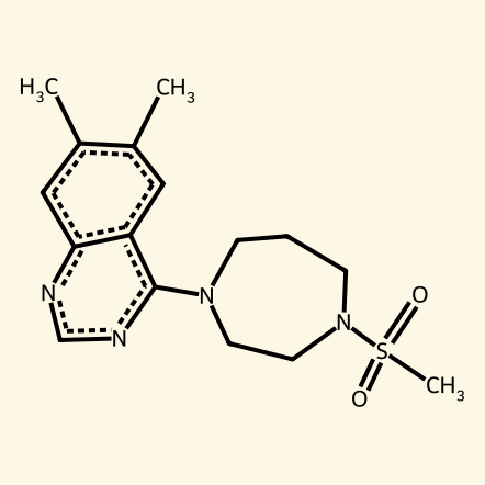 Cc1cc2ncnc(N3CCCN(S(C)(=O)=O)CC3)c2cc1C